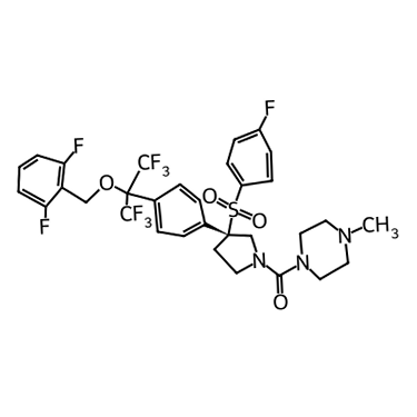 CN1CCN(C(=O)N2CC[C@](c3ccc(C(OCc4c(F)cccc4F)(C(F)(F)F)C(F)(F)F)cc3)(S(=O)(=O)c3ccc(F)cc3)C2)CC1